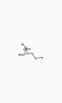 COC(COCC=C(C)CCC=C(C)CCC=C(C)C)COP(=O)(O)OCCN(C)C